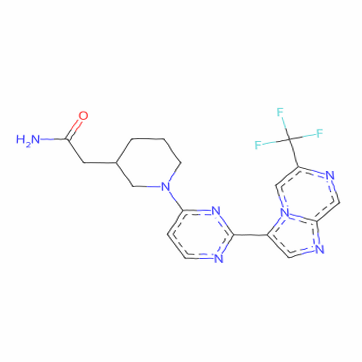 NC(=O)CC1CCCN(c2ccnc(-c3cnc4cnc(C(F)(F)F)cn34)n2)C1